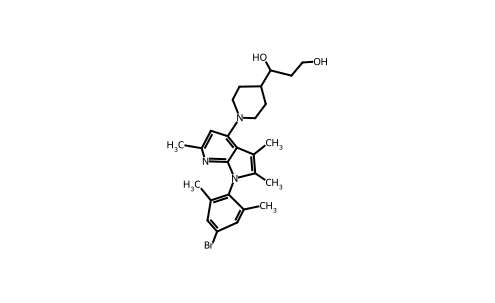 Cc1cc(N2CCC(C(O)CCO)CC2)c2c(C)c(C)n(-c3c(C)cc(Br)cc3C)c2n1